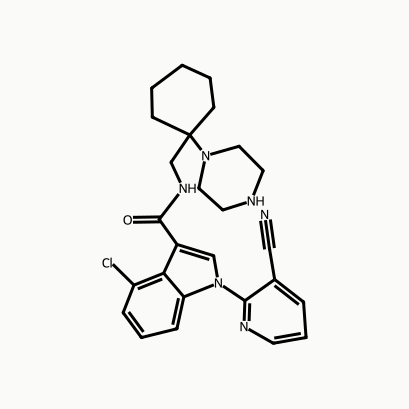 N#Cc1cccnc1-n1cc(C(=O)NCC2(N3CCNCC3)CCCCC2)c2c(Cl)cccc21